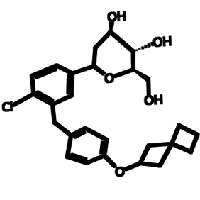 OC[C@H]1OC(c2ccc(Cl)c(Cc3ccc(OC4CC5(CCC5)C4)cc3)c2)C[C@@H](O)[C@@H]1O